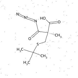 CC(C)(C)SC[C@](C)(C(=O)O)C(=O)N=[N+]=[N-]